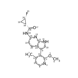 COc1nccc(C)c1-c1c[nH]c2nc(NC(=O)[C@@H]3C[C@@H]3F)ccc12